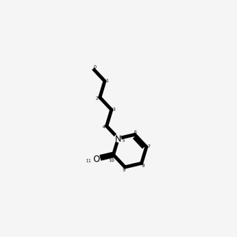 CCCCCN1C=CCCC1=O